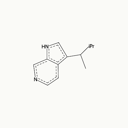 CC(C)C(C)c1c[nH]c2cnccc12